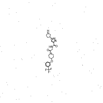 O=C(NCC(=O)N1CCC(Oc2cccc(C(F)(F)F)c2)CC1)c1cn(C2CCNC2)nn1